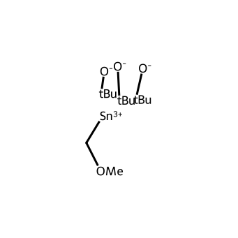 CC(C)(C)[O-].CC(C)(C)[O-].CC(C)(C)[O-].CO[CH2][Sn+3]